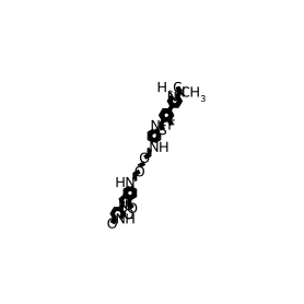 CN(C)c1ccc(-c2ccc(-c3nc4ccc(NCCOCCOCCNc5ccc6c(c5)CN(C5CCC(=O)NC5=O)C6=O)cc4s3)c(F)c2)cn1